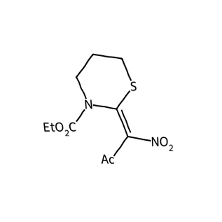 CCOC(=O)N1CCCSC1=C(C(C)=O)[N+](=O)[O-]